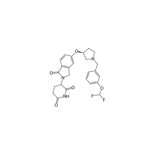 O=C1CCC(N2Cc3cc(O[C@H]4CCN(Cc5cccc(OC(F)F)c5)C4)ccc3C2=O)C(=O)N1